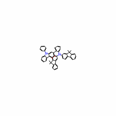 CC1(C)c2ccccc2-c2cc(N(c3ccc4c(c3)C(C)(C)c3ccccc3-4)c3ccccc3-c3ccc4c5ccccc5n(-c5ccccc5)c4c3)ccc21